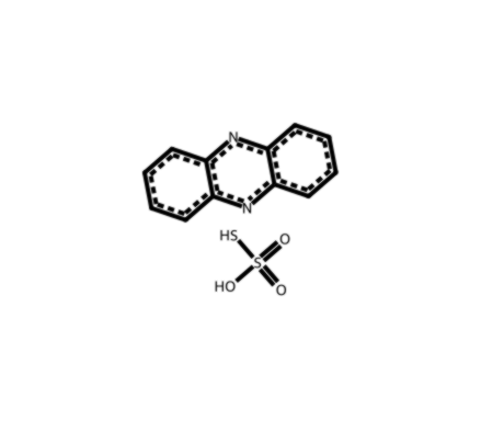 O=S(=O)(O)S.c1ccc2nc3ccccc3nc2c1